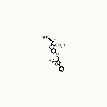 CCCC#CC(=O)N1CCc2ccc(OCCc3nc(-c4ccccc4)oc3C)cc2C1C(=O)O